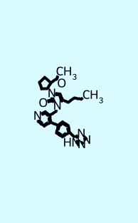 CCCCc1cn(C2CCCC2C(C)=O)c(=O)n1Cc1cnccc1-c1ccc(-c2nnn[nH]2)cc1